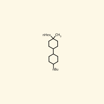 CCCCCCC1(C)CCC(C2CCC(CCCC)CC2)CC1